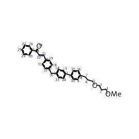 COCCCOCCCc1ccc(-c2ccc(Cc3ccc(/C=C/C(=O)c4ccccc4)cc3)cc2)cc1